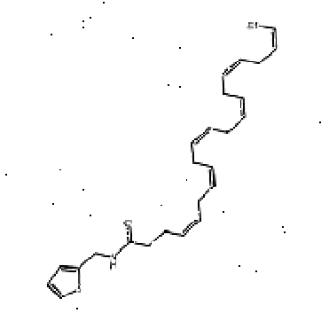 CC/C=C\C/C=C\C/C=C\C/C=C\C/C=C\C/C=C\CCC(=O)NCc1cccs1